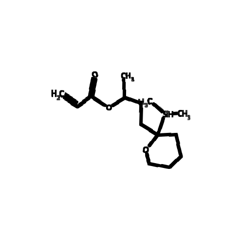 C=CC(=O)OC(C)CCC1([SiH](C)C)CCCCO1